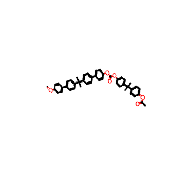 COc1ccc(-c2ccc(C(C)(C)c3ccc(-c4ccc(OC(=O)Oc5ccc(C(C)(C)c6ccc(OC(C)=O)cc6)cc5)cc4)cc3)cc2)cc1